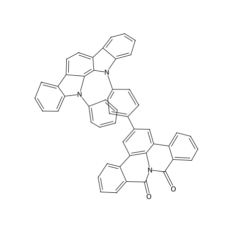 O=c1c2ccccc2c2cc(-c3ccc(-n4c5ccccc5c5ccc6c7ccccc7n(-c7ccccc7)c6c54)cc3)cc3c4ccccc4c(=O)n1c23